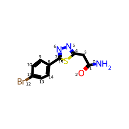 NC(=O)Cc1nnc(-c2ccc(Br)cc2)s1